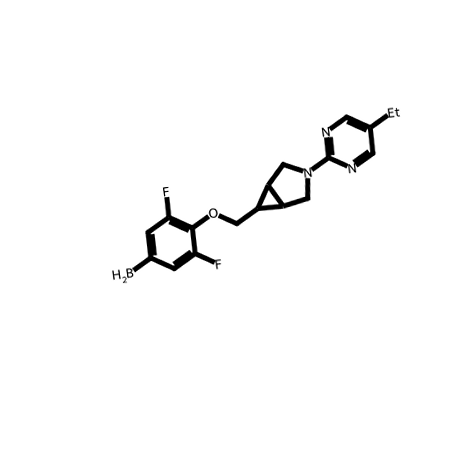 Bc1cc(F)c(OCC2C3CN(c4ncc(CC)cn4)CC23)c(F)c1